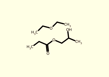 CCC(=O)OCC(C)O.CCOCC